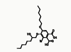 CCCCCCOc1cc(C(=O)O)c(C(=O)O)c(Br)c1OCC(O)CCCCCC